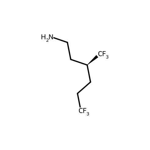 NCC[C@H](CCC(F)(F)F)C(F)(F)F